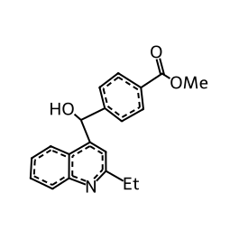 CCc1cc(C(O)c2ccc(C(=O)OC)cc2)c2ccccc2n1